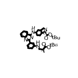 C[C@@H](CNc1cccc(-c2nc(Nc3ccc4c(cnn4C(=O)OC(C)(C)C)c3)c3ccccc3n2)c1)C(=O)OC(C)(C)C